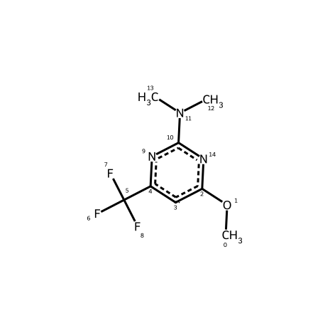 COc1[c]c(C(F)(F)F)nc(N(C)C)n1